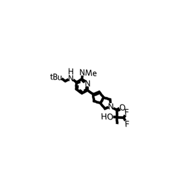 CNc1nc(C2=CC3CN(C(=O)C(C)(O)C(F)F)CC3C2)ccc1NCC(C)(C)C